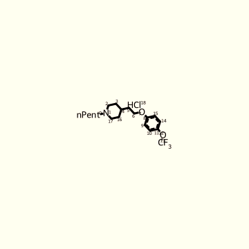 CCCCCN1CCC(CCOc2ccc(OC(F)(F)F)cc2)CC1.Cl